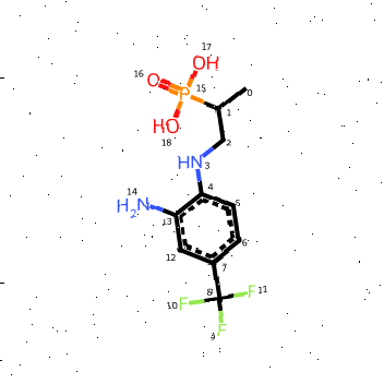 CC(CNc1ccc(C(F)(F)F)cc1N)P(=O)(O)O